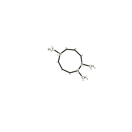 CN1CCCN(C)N(C)CCC1